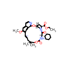 CCOC(=O)[C@@H]1C[C@@H]2CN1C(=O)[C@H](C1CCCCC1)NC(=O)OCC(C)(C)C/C=C/c1cc3c(nccc3cc1OC)O2